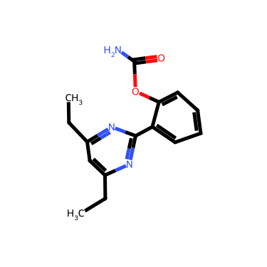 CCc1cc(CC)nc(-c2ccccc2OC(N)=O)n1